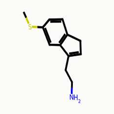 CSc1ccc2c(c1)C(CCN)=CC2